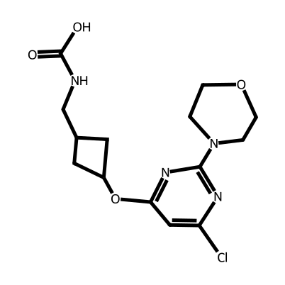 O=C(O)NCC1CC(Oc2cc(Cl)nc(N3CCOCC3)n2)C1